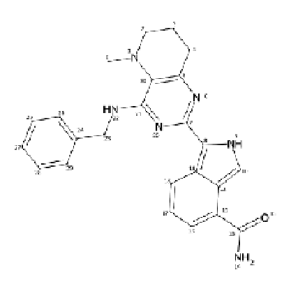 CN1CCCc2nc(-c3[nH]cc4c(C(N)=O)cccc34)nc(NCc3ccccc3)c21